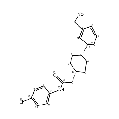 O=NCc1cccc([C@H]2CC[C@@H](CC(=O)Nc3ccc(Cl)cc3)CC2)c1